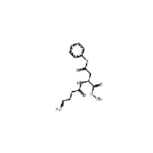 C=CCCC(=O)N[C@@H](CC(=O)Sc1ccccc1)C(=O)OC(C)(C)C